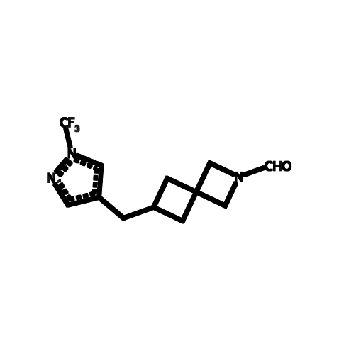 O=CN1CC2(CC(Cc3cnn(C(F)(F)F)c3)C2)C1